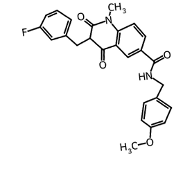 COc1ccc(CNC(=O)c2ccc3c(c2)C(=O)C(Cc2cccc(F)c2)C(=O)N3C)cc1